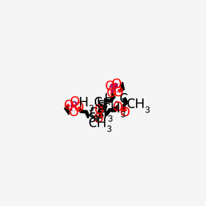 C=C(C)C(=O)OCCC[SiH](O[Si](C)(C)CCCOP1(=O)OCCO1)O[Si](C)(C)CCCOP1(=O)OCCO1